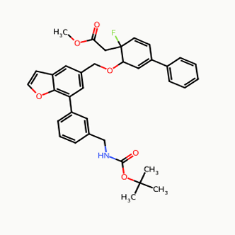 COC(=O)CC1(F)C=CC(c2ccccc2)=CC1OCc1cc(-c2cccc(CNC(=O)OC(C)(C)C)c2)c2occc2c1